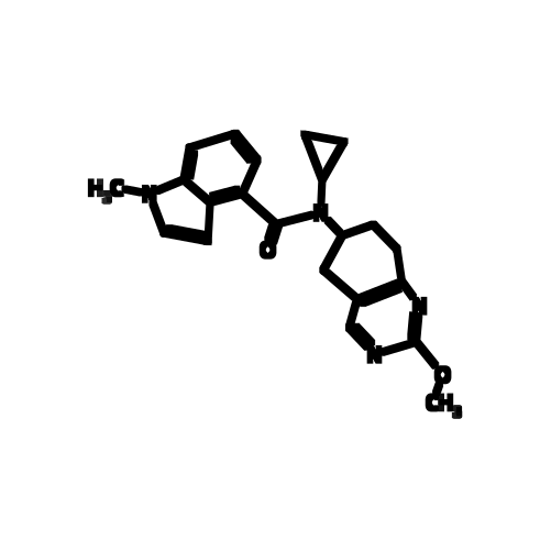 COc1ncc2c(n1)CCC(N(C(=O)c1cccc3c1ccn3C)C1CC1)C2